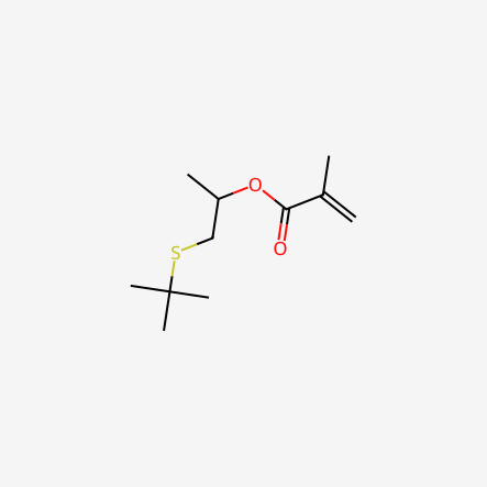 C=C(C)C(=O)OC(C)CSC(C)(C)C